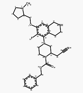 CN1CCCC1COc1nc2c(c(N3CCN(C(=O)OCc4ccccc4)C(CC#N)C3)c1F)CCNC2